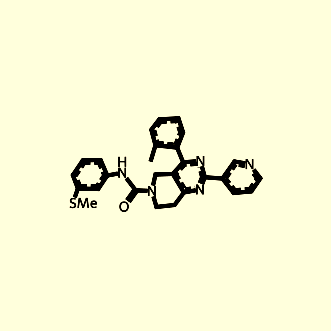 CSc1cccc(NC(=O)N2CCc3nc(-c4cccnc4)nc(-c4ccccc4C)c3C2)c1